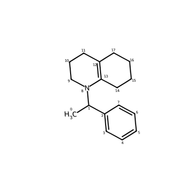 CC(c1ccccc1)N1CCCC2=C1CCCC2